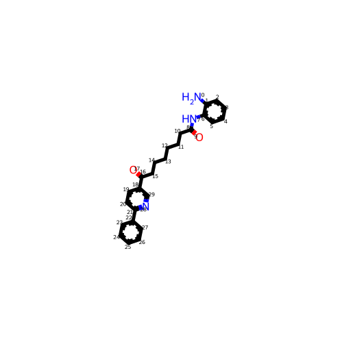 Nc1ccccc1NC(=O)CCCCCCC(=O)c1ccc(-c2ccccc2)nc1